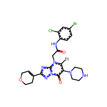 CCc1c(N2CCNCC2)c(=O)n2nc(C3=CCOCC3)nc2n1CC(=O)Nc1ccc(Br)cc1Cl